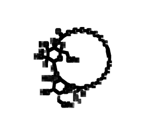 CC(=O)OC[C@@H]1O[C@H]2O[C@H]3[C@H](O[C@H](C)CCCCCC/C=C\CCCCCCCC(=O)O[C@H]1[C@H](O)[C@H]2O)O[C@H](COC(C)=O)[C@@H](O)[C@@H]3O